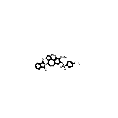 COc1c(OS(=O)(=O)c2ccc(C)cc2)cc2c(c1OC)C1=C(CCC1)C(N1C(=O)c3ccccc3C1=O)CC2